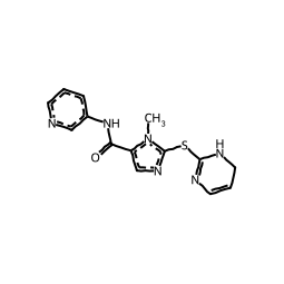 Cn1c(C(=O)Nc2cccnc2)cnc1SC1=NC=CCN1